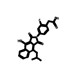 CC(C)Cc1c2c(c(O)c3ccccc13)C(=O)N(c1ccc(CC(=O)O)c(F)c1)C2=O